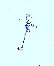 CCCCCCCCCCCCCCCCN1C=CN(CCCCCCC)C1(Cc1ccccc1)C(CC)c1ccccc1